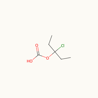 CCC(Cl)(CC)OC(=O)O